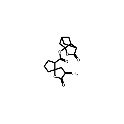 C=C1CC2(CCCC2C(=O)OC23CC4CC(C(=O)O2)C3C4)OC1=O